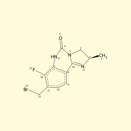 C[C@@H]1CN2C(=O)Nc3c(ccc(CBr)c3F)C2=N1